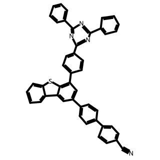 N#Cc1ccc(-c2ccc(-c3cc(-c4ccc(-c5nc(-c6ccccc6)nc(-c6ccccc6)n5)cc4)c4sc5ccccc5c4c3)cc2)cc1